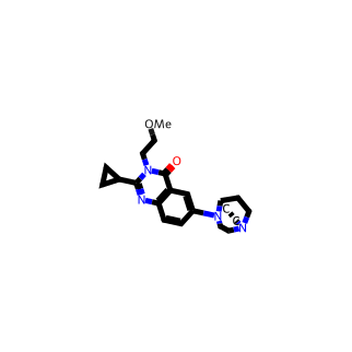 COCCn1c(C2CC2)nc2ccc(N3CCN4CCC3CC4)cc2c1=O